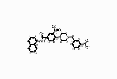 O=C(Nc1cccc2ccccc12)c1ccc(N2CCN(Cc3cccc([N+](=O)[O-])c3)CC2)c([N+](=O)[O-])c1